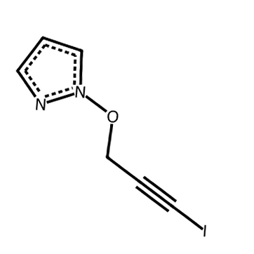 IC#CCOn1cccn1